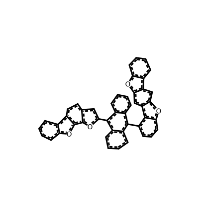 c1ccc2c(c1)oc1cc3c(cc12)oc1cccc(-c2c4ccccc4c(-c4cc5ccc6c7ccccc7oc6c5o4)c4ccccc24)c13